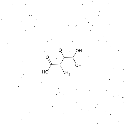 NC(C(=O)O)C(O)C(O)O